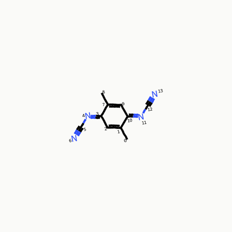 CC1=CC(=NC#N)C(C)=CC1=NC#N